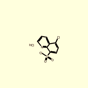 Cl.O=S(=O)(Cl)c1ccc(Cl)c2cccnc12